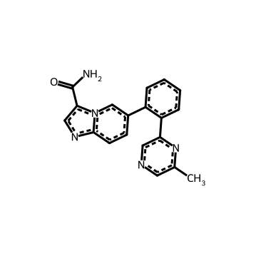 Cc1cncc(-c2ccccc2-c2ccc3ncc(C(N)=O)n3c2)n1